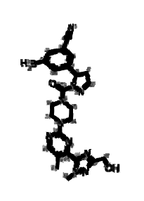 Bc1cc(C#N)cc(C2CC=NN2C(=O)N2CCN(c3ncc(C)c(-c4nc(CO)nn4C)n3)CC2)c1